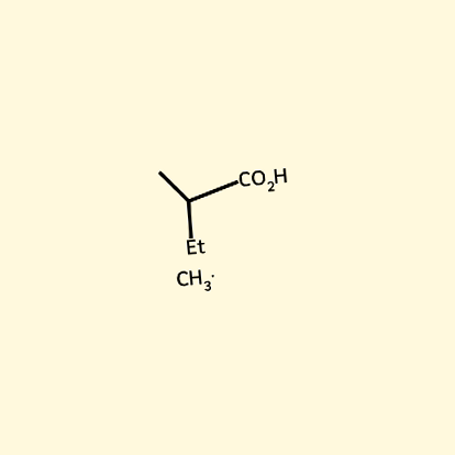 CCC(C)C(=O)O.[CH3]